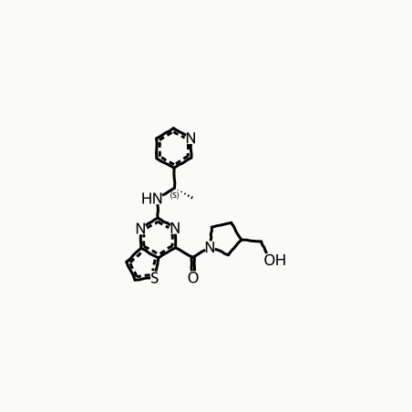 C[C@H](Nc1nc(C(=O)N2CCC(CO)C2)c2sccc2n1)c1cccnc1